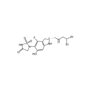 CCC(CC)CNC[C@H]1Cc2c(cc(O)c(N3CC(=O)NS3(=O)=O)c2F)N1